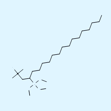 CCCCCCCCCCCCCCCC(CC(C)(C)N)[Si](OC)(OC)OC